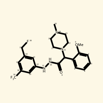 COc1ccccc1C(C(=O)NNc1cc(CF)cc(C(F)(F)F)c1)N1CCN(C)CC1